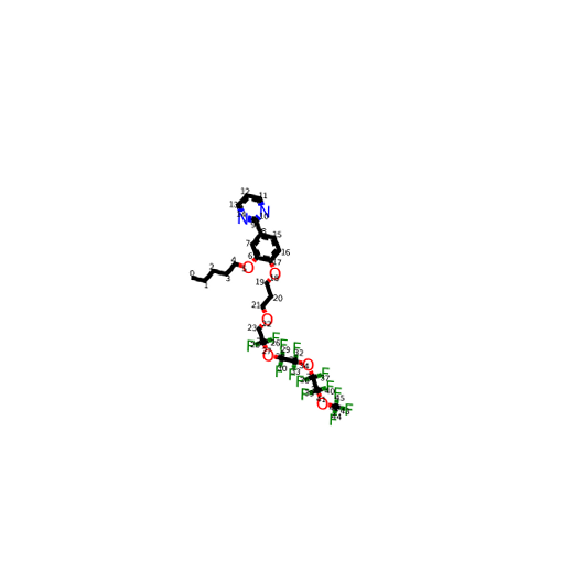 CCCCCOc1cc(-c2ncccn2)ccc1OCCCOCC(F)(F)OC(F)(F)C(F)(F)OC(F)(F)C(F)(F)OC(F)(F)F